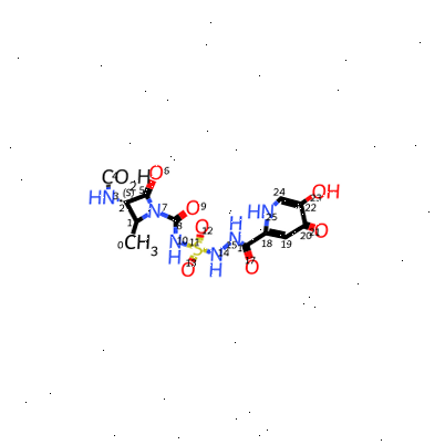 CC1[C@H](NC(=O)O)C(=O)N1C(=O)NS(=O)(=O)NNC(=O)c1cc(=O)c(O)c[nH]1